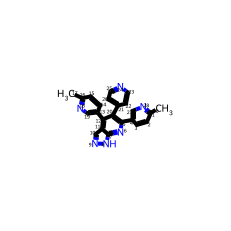 Cc1ccc(-c2nc3[nH]ncc3c(-c3ccc(C)nc3)c2-c2ccncc2)cn1